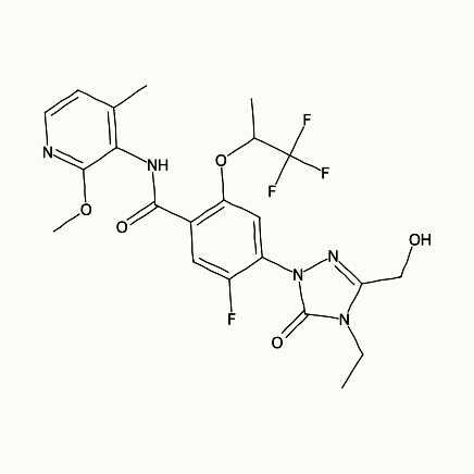 CCn1c(CO)nn(-c2cc(OC(C)C(F)(F)F)c(C(=O)Nc3c(C)ccnc3OC)cc2F)c1=O